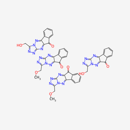 COCc1nnc2nc3c(nn12)-c1ccccc1C3=O.COCc1nnc2nc3c(nn12)C(=O)c1ccccc1-3.O=C1c2ccccc2-c2nc3nnc(CO)n3nc21.O=C1c2ccccc2-c2nn3c(CO)nnc3nc21